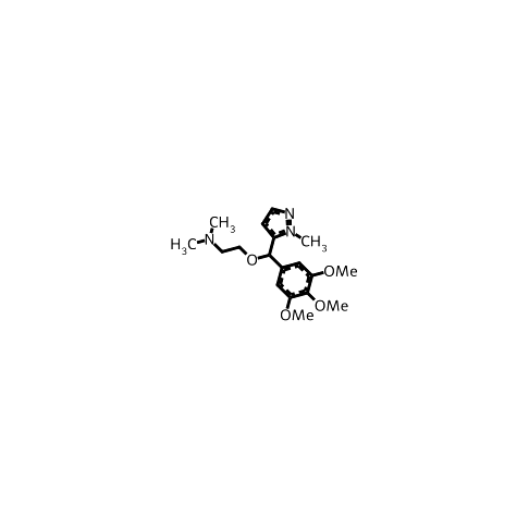 COc1cc(C(OCCN(C)C)c2ccnn2C)cc(OC)c1OC